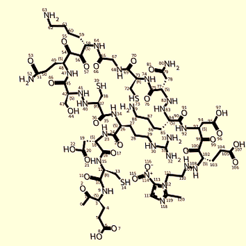 CC(=O)[C@H](CCC(=O)O)NC(=O)[C@H](CS)NC(=O)[C@H](CC(=O)O)NC(=O)[C@H](CCCNC(N)N)NC(=O)[C@H](CS)NN[C@@H](CO)C(=O)N[C@@H](CCC(N)=O)C(=O)C(=O)[C@H](CCCCN)NC(=O)CNC(=O)[C@H](CS)NC(=O)[C@H](CC(N)=O)NN[C@@H](CCCCN)C(=O)N[C@@H](CC(=O)O)C(=O)C(=O)[C@H](CCC(=O)O)NNCCn1c([N+](=O)[O-])cnc1C